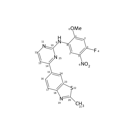 COc1cc(F)c([N+](=O)[O-])cc1Nc1nccc(-c2ccc3nc(C)sc3c2)n1